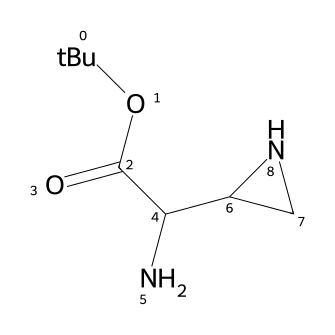 CC(C)(C)OC(=O)C(N)C1CN1